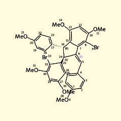 COc1ccc(/C=C2/c3c(Br)c(OC)cc(OC)c3[C@@H](c3ccc(OC)cc3)[C@@H]2c2cc(OC)cc(OC)c2Br)cc1